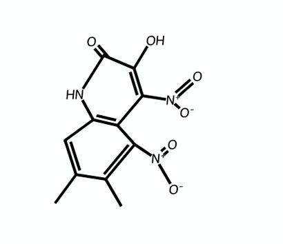 Cc1cc2[nH]c(=O)c(O)c([N+](=O)[O-])c2c([N+](=O)[O-])c1C